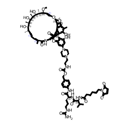 CO[C@H]1/C=C/O[C@@]2(C)Oc3c(C)c(O)c4c(=O)c(c5oc6cc(N7CCN(CCNC(=O)OCc8ccc(NC(=O)[C@H](CCCNC(N)=O)NC(=O)[C@@H](NC(=O)CCCCCN9C(=O)C=CC9=O)C(C)C)cc8)CC7)cc(O)c6nc-5c4c3C2=O)NC(=O)/C(C)=C\C=C\[C@H](C)[C@H](O)[C@@H](C)[C@@H](O)[C@@H](C)[C@H](O)[C@@H]1C